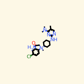 Cc1cnc(N[C@H]2CC[C@@H]([N+](C)(CC(N)=O)c3ccc(Cl)cc3)CC2)nc1N(C)C